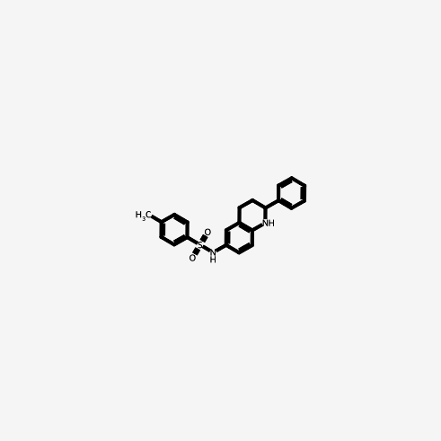 Cc1ccc(S(=O)(=O)Nc2ccc3c(c2)CCC(c2ccccc2)N3)cc1